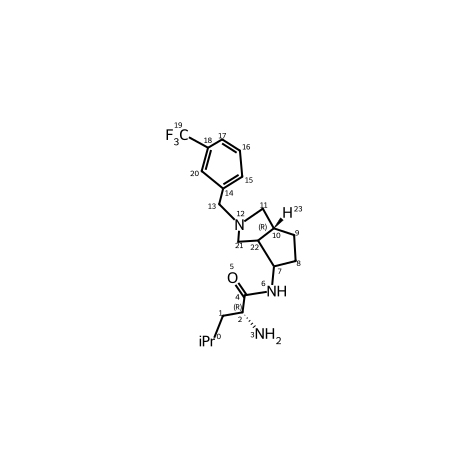 CC(C)C[C@@H](N)C(=O)NC1CC[C@H]2CN(Cc3cccc(C(F)(F)F)c3)CC12